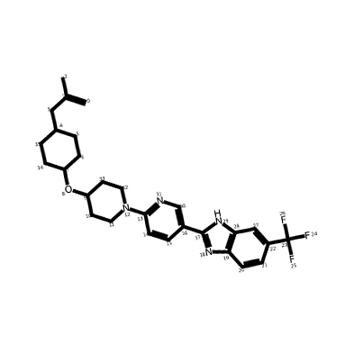 C=C(C)CC1CCC(OC2CCN(c3ccc(-c4nc5ccc(C(F)(F)F)cc5[nH]4)cn3)CC2)CC1